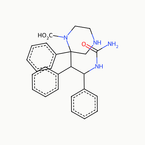 NC(=O)NC(c1ccccc1)C(c1ccccc1)C1(c2ccccc2)CNCCN1C(=O)O